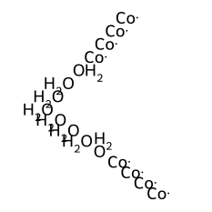 O.O.O.O.O.O.O.O.[Co].[Co].[Co].[Co].[Co].[Co].[Co].[Co]